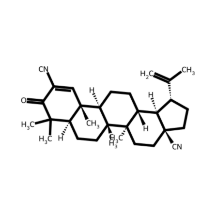 [C-]#[N+]C1=C[C@]2(C)[C@H]3CC[C@@H]4[C@H]5[C@H](C(=C)C)CC[C@]5(C#N)CC[C@@]4(C)[C@]3(C)CC[C@H]2C(C)(C)C1=O